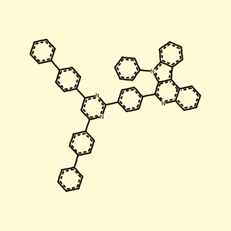 c1ccc(-c2ccc(-c3cc(-c4ccc(-c5ccccc5)cc4)nc(-c4ccc(-c5nc6ccccc6c6c7ccccc7n(-c7ccccc7)c56)cc4)n3)cc2)cc1